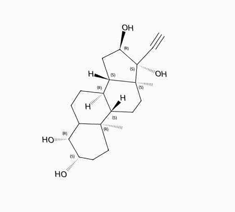 C#C[C@]1(O)[C@H](O)C[C@H]2[C@@H]3CCC4[C@@H](O)[C@@H](O)CC[C@]4(C)[C@H]3CC[C@@]21C